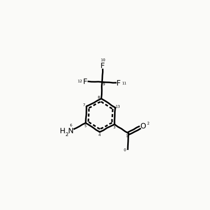 CC(=O)c1cc(N)cc(C(F)(F)F)c1